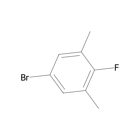 Cc1cc(Br)cc(C)c1F